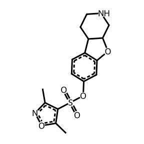 Cc1noc(C)c1S(=O)(=O)Oc1ccc2c(c1)OC1CNCCC21